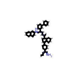 C=C/C=C(\CN)C1CC=C(C2=C3CCCCC3C(/C(C)=C/C=C(\CNc3ccc4c(c3)C=CCC4)C3C=C(C4=CC=CCC4)CCC3)CC2)CC1